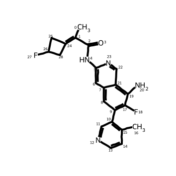 CC(C(=O)Nc1cc2cc(-c3cnccc3C)c(F)c(N)c2cn1)=C1CC(F)C1